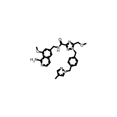 COCc1nc(C(=O)NCc2cc(OC)c3c(N)nccc3c2)nn1Cc1ccc(Cn2cc(C)cn2)cc1